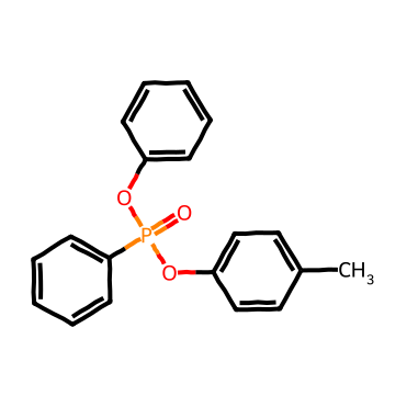 Cc1ccc(OP(=O)(Oc2ccccc2)c2ccccc2)cc1